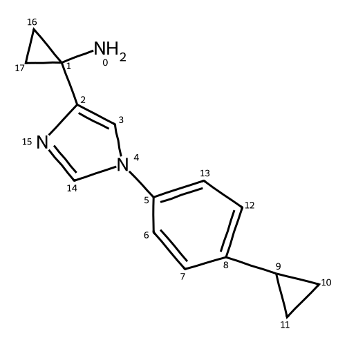 NC1(c2cn(-c3ccc(C4CC4)cc3)cn2)CC1